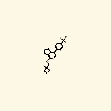 CC1(COc2ncc(-c3ccc(C(F)(F)F)cc3)c3c2CCC3)COC1